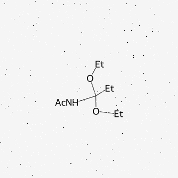 CCOC(CC)(NC(C)=O)OCC